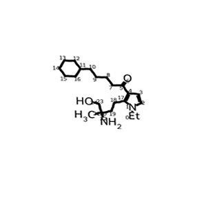 CCn1ccc(C(=O)CCCCC2CCCCC2)c1CCC(C)(N)CO